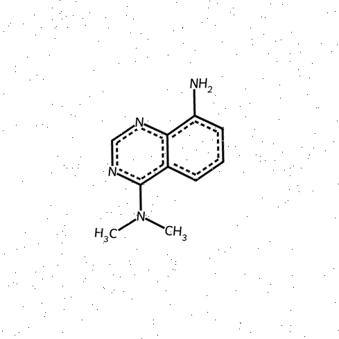 CN(C)c1ncnc2c(N)cccc12